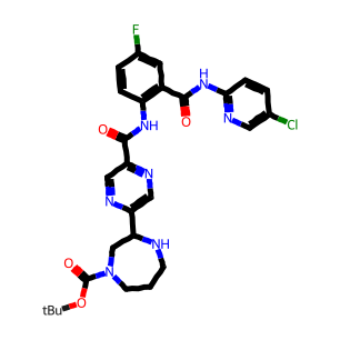 CC(C)(C)OC(=O)N1CCCNC(c2cnc(C(=O)Nc3ccc(F)cc3C(=O)Nc3ccc(Cl)cn3)cn2)C1